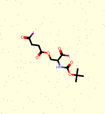 CC(C)(C)OC(=O)NC(COC(=O)CCC(=O)I)C(=O)I